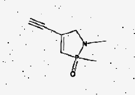 C#CC1=CP(C)(=O)N(C)C1